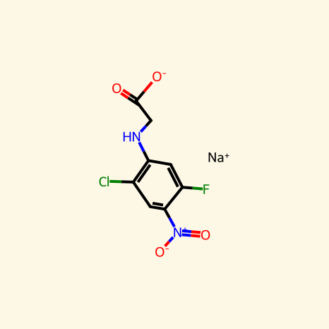 O=C([O-])CNc1cc(F)c([N+](=O)[O-])cc1Cl.[Na+]